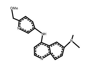 COCc1ccc(Nc2ccnc3ccc(N(C)C)cc23)cn1